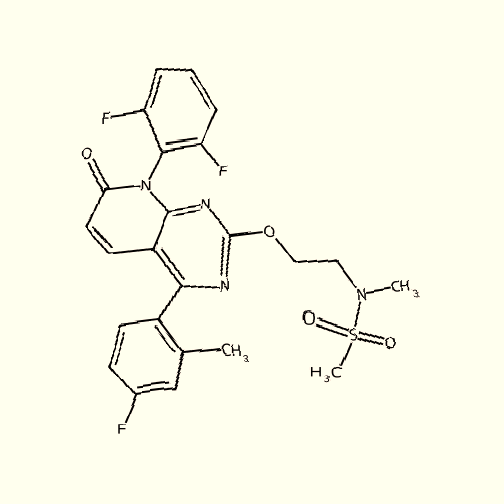 Cc1cc(F)ccc1-c1nc(OCCN(C)S(C)(=O)=O)nc2c1ccc(=O)n2-c1c(F)cccc1F